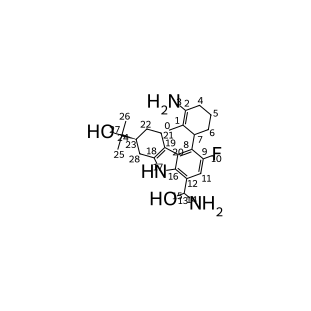 CC1=C(N)CCCC1c1c(F)cc(C(N)O)c2[nH]c3c(c12)CC[C@H](C(C)(C)O)C3